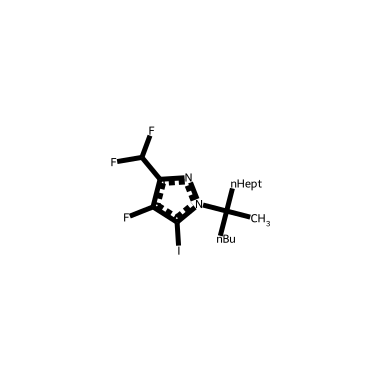 CCCCCCCC(C)(CCCC)n1nc(C(F)F)c(F)c1I